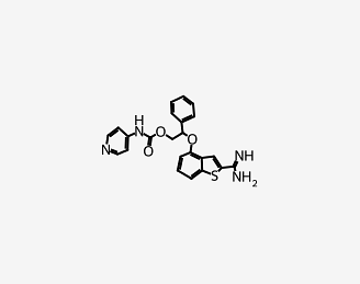 N=C(N)c1cc2c(OC(COC(=O)Nc3ccncc3)c3ccccc3)cccc2s1